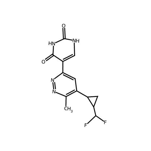 Cc1nnc(-c2c[nH]c(=O)[nH]c2=O)cc1C1CC1C(F)F